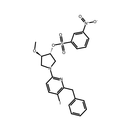 CO[C@@H]1CN(c2ccc(I)c(Cc3ccccc3)n2)C[C@H]1OS(=O)(=O)c1cccc([N+](=O)[O-])c1